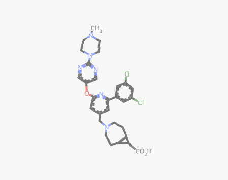 CN1CCN(c2ncc(Oc3cc(CN4CCC5C(CC4)C5C(=O)O)cc(-c4cc(Cl)cc(Cl)c4)n3)cn2)CC1